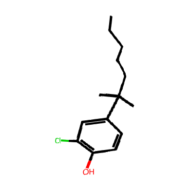 CCCCCC(C)(C)c1ccc(O)c(Cl)c1